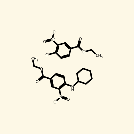 CCOC(=O)c1ccc(Cl)c([N+](=O)[O-])c1.CCOC(=O)c1ccc(NC2CCCCC2)c([N+](=O)[O-])c1